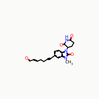 Cn1c(=O)n(C2CCC(=O)NC2=O)c2ccc(C#CCCC=CC=O)cc21